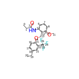 CCC(=O)Nc1cccc(OC)c1COc1ccc(CC)cc1C(F)(F)F